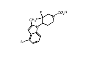 Cc1cc2c(Br)cccc2n1C1CCN(C(=O)O)CC1(F)F